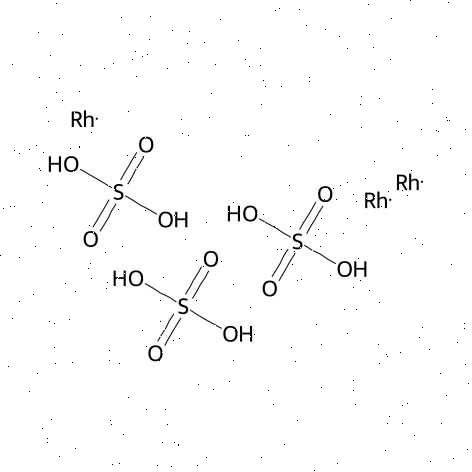 O=S(=O)(O)O.O=S(=O)(O)O.O=S(=O)(O)O.[Rh].[Rh].[Rh]